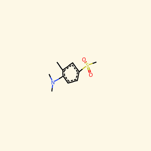 Cc1cc(S(C)(=O)=O)ccc1N(C)C